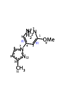 CO/C(N)=C/C(=C\N)n1ccc(C)n1